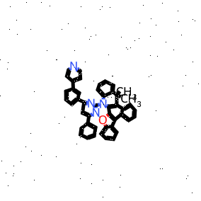 CC1(C)c2ccccc2N(c2nc(-c3ccccc3)cc(-c3cccc(-c4ccncc4)c3)n2)c2c1c1ccccc1c1c2oc2ccccc21